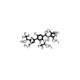 Cc1n[nH]c(Cl)c1NC(=O)c1cc(F)c(-c2cn(C)c(C(O)C(F)(F)F)n2)cc1O[C@@H](C)C(F)(F)F